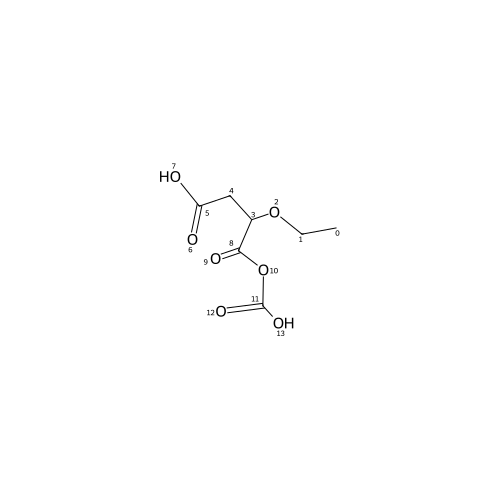 CCOC(CC(=O)O)C(=O)OC(=O)O